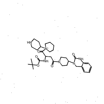 CC(C)(C)OC(=O)NC(CC(=O)N1CCC(N2Cc3ccccc3NC2=O)CC1)C(=O)[N+]1(C2CCNCC2)CCCCC1